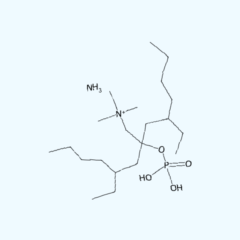 CCCCC(CC)CC(CC(CC)CCCC)(C[N+](C)(C)C)OP(=O)(O)O.N